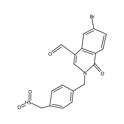 O=Cc1cn(Cc2ccc(C[SH](=O)=O)cc2)c(=O)c2ccc(Br)cc12